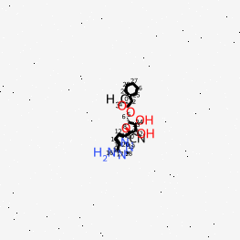 CC1(CC(=O)OC[C@H]2O[C@@](C#N)(c3ccc4c(N)ncnn34)[C@H](O)[C@@H]2O)CCCCC1